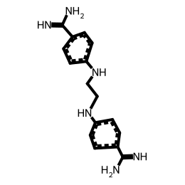 N=C(N)c1ccc(NCCNc2ccc(C(=N)N)cc2)cc1